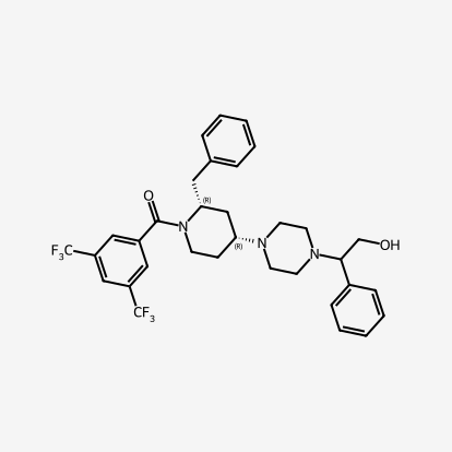 O=C(c1cc(C(F)(F)F)cc(C(F)(F)F)c1)N1CC[C@@H](N2CCN(C(CO)c3ccccc3)CC2)C[C@H]1Cc1ccccc1